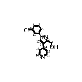 OCc1nn(-c2cccc(Cl)c2)cc1-c1ccncc1